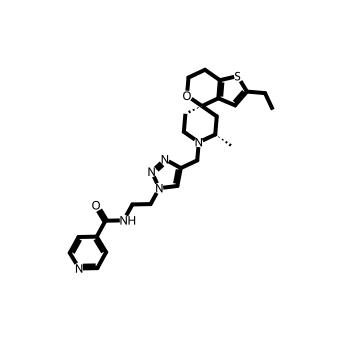 CCc1cc2c(s1)CCO[C@@]21CCN(Cc2cn(CCNC(=O)c3ccncc3)nn2)[C@@H](C)C1